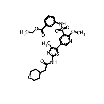 CCOC(=O)c1cccc(NS(=O)(=O)c2cc(-c3sc(NC(=O)CC4CCOCC4)nc3C)cnc2OC)c1